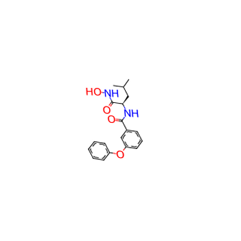 CC(C)C[C@@H](NC(=O)c1cccc(Oc2ccccc2)c1)C(=O)NO